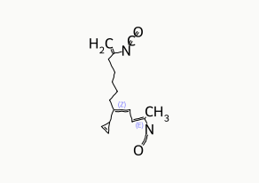 C=C(CCCCC/C(=C/C=C(\C)N=C=O)C1C=C1)N=C=O